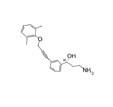 Cc1cccc(C)c1OCC#Cc1cccc([C@H](O)CCN)c1